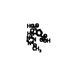 COc1ncnc(Nc2cc(S(=O)(=O)O)ccc2S(=O)(=O)O)n1